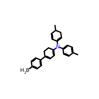 Bc1ccc(C2=CC=C(N(C3=CCC(C)C=C3)c3ccc(C)cc3)CC2)cc1